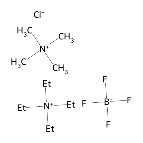 CC[N+](CC)(CC)CC.C[N+](C)(C)C.F[B-](F)(F)F.[Cl-]